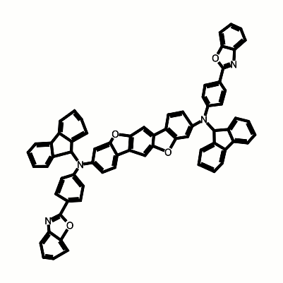 c1ccc2c(c1)-c1ccccc1C2N(c1ccc(-c2nc3ccccc3o2)cc1)c1ccc2c(c1)oc1cc3c(cc12)oc1cc(N(c2ccc(-c4nc5ccccc5o4)cc2)C2c4ccccc4-c4ccccc42)ccc13